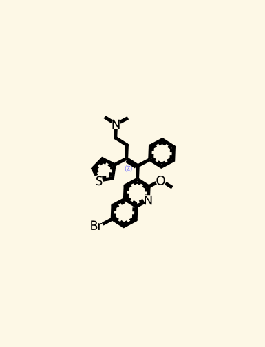 COc1nc2ccc(Br)cc2cc1/C(=C(/CCN(C)C)c1ccsc1)c1ccccc1